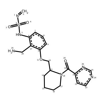 C=NS(=O)(=O)Nc1cccc(OCC2CCCCN2C(=O)c2ccncn2)c1CN